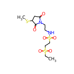 CCS(=O)(=O)CCS(=O)(=O)NCCN1C(=O)CC(SC)C1=O